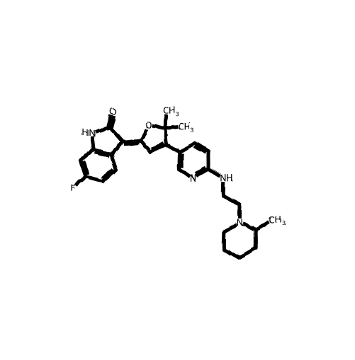 CC1CCCCN1CCNc1ccc(C2=CC(=C3C(=O)Nc4cc(F)ccc43)OC2(C)C)cn1